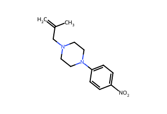 C=C(C)CN1CCN(c2ccc([N+](=O)[O-])cc2)CC1